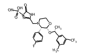 Cc1cc([C@@H](C)O[C@H]2OCCN(Cc3nn(P(=O)(O)N=O)c(=O)[nH]3)[C@H]2c2ccc(F)cc2)cc(C(F)(F)F)c1